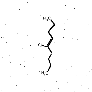 CCCC=C(Cl)CCCC